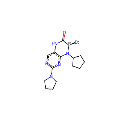 CC[C@@H]1C(=O)Nc2cnc(N3CCCC3)nc2N1C1CCCC1